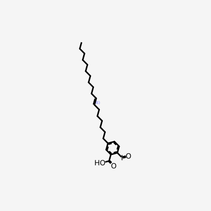 CCCCCCCCCC/C=C/CCCCCCc1ccc(I=O)c(C(=O)O)c1